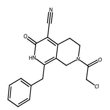 N#Cc1c2c(c(Cc3ccccc3)[nH]c1=O)CN(C(=O)CCl)CC2